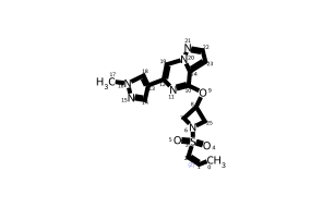 C/C=C\S(=O)(=O)N1CC(Oc2nc(-c3cnn(C)c3)cn3nccc23)C1